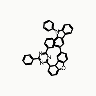 C1=CC(c2nc(-c3ccccc3)nc(-c3ccccc3)n2)C2C(=C1)Oc1ccc(-c3ccc4c(c3)c3ccccc3n4-c3ccccc3)cc12